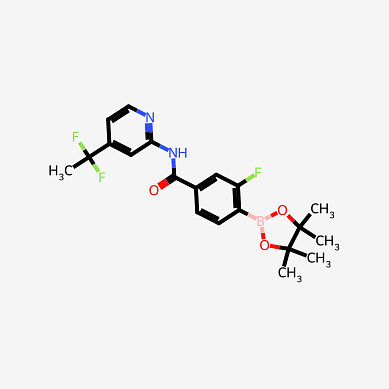 CC(F)(F)c1ccnc(NC(=O)c2ccc(B3OC(C)(C)C(C)(C)O3)c(F)c2)c1